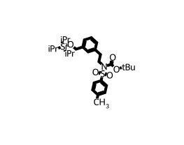 Cc1ccc(S(=O)(=O)N(CCc2cccc(CO[Si](C(C)C)(C(C)C)C(C)C)c2)C(=O)OC(C)(C)C)cc1